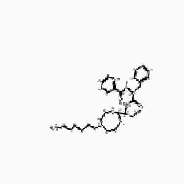 CC(C)C[C@H](NC(=O)[C@H](Cc1ccccc1)NC(=O)c1cnccn1)B1OCCN(CCCCCCN)CCO1